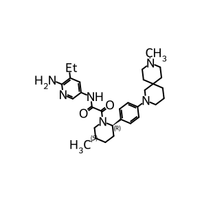 CCc1cc(NC(=O)C(=O)N2C[C@@H](C)CC[C@@H]2c2ccc(N3CCCC4(CCN(C)CC4)C3)cc2)cnc1N